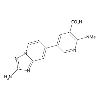 CNc1ncc(-c2ccn3nc(N)nc3c2)cc1C(=O)O